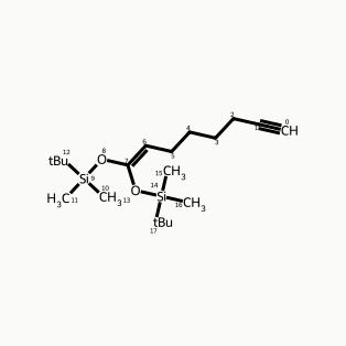 C#CCCCCC=C(O[Si](C)(C)C(C)(C)C)O[Si](C)(C)C(C)(C)C